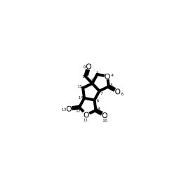 O=CC12COC(=O)C1C1C(=O)OC(=O)C1C2